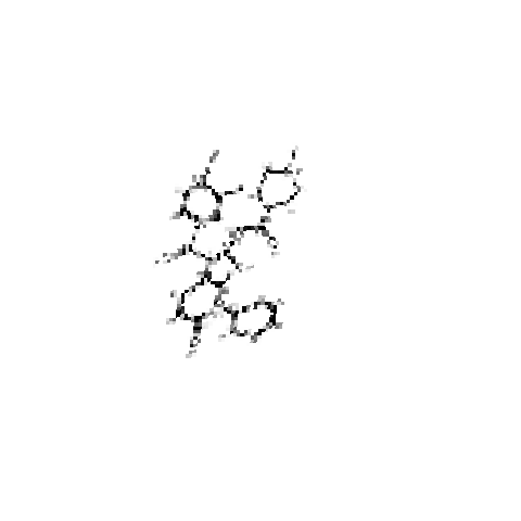 Cc1cc(C(=O)c2c(NC(=O)N3CCN(C)CC3)sc3c2ccc(=O)n3-c2ccccc2)ccc1F